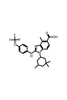 Cc1c(C(=O)O)ccc2c1nc(Nc1ccc(OC(F)(F)F)cc1)n2C1CC(C)CC(C)(C)C1